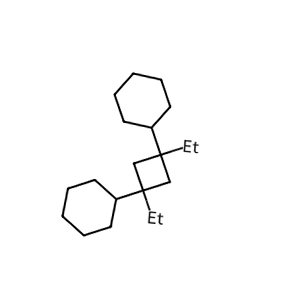 CCC1(C2CCCCC2)CC(CC)(C2CCCCC2)C1